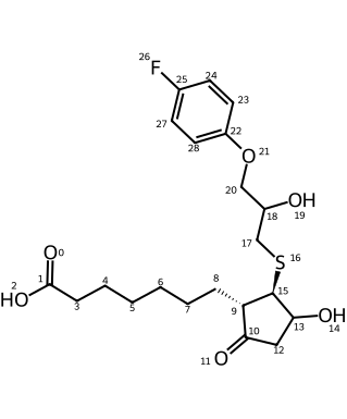 O=C(O)CCCCCC[C@H]1C(=O)CC(O)[C@@H]1SCC(O)COc1ccc(F)cc1